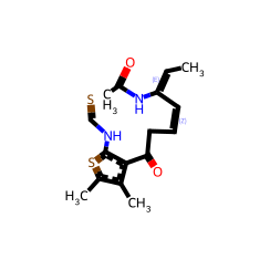 C/C=C(\C=C/CC(=O)c1c(NC=S)sc(C)c1C)NC(C)=O